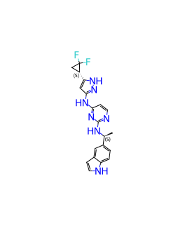 C[C@H](Nc1nccc(Nc2cc([C@@H]3CC3(F)F)[nH]n2)n1)c1ccc2[nH]ccc2c1